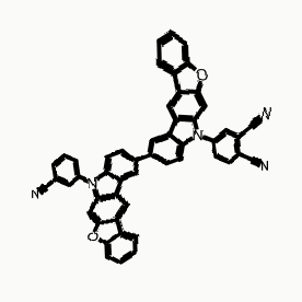 N#Cc1cccc(-n2c3ccc(-c4ccc5c(c4)c4cc6c(cc4n5-c4ccc(C#N)c(C#N)c4)oc4ccccc46)cc3c3cc4c(cc32)oc2ccccc24)c1